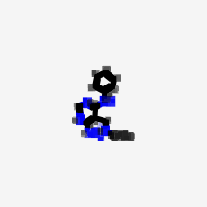 CO/N=C/c1c(N)ncnc1Nc1ccccc1